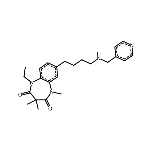 CCN1C(=O)C(C)(C)C(=O)N(C)c2cc(CCCCNCc3ccncc3)ccc21